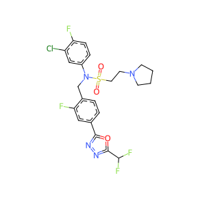 O=S(=O)(CCN1CCCC1)N(Cc1ccc(-c2nnc(C(F)F)o2)cc1F)c1ccc(F)c(Cl)c1